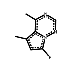 Cc1cc(F)n2ncnc(C)c12